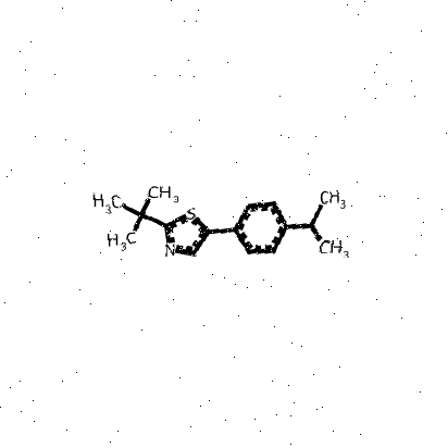 CC(C)c1ccc(-c2cnc(C(C)(C)C)s2)cc1